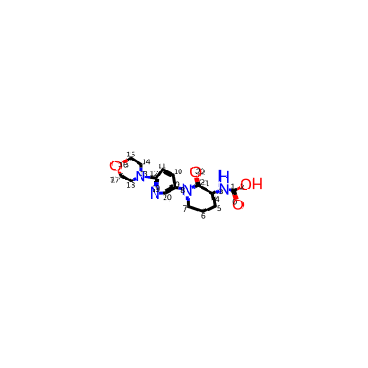 O=C(O)NC1CCCN(c2ccc(N3CCOCC3)nc2)C1=O